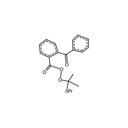 CCCC(C)(C)OOC(=O)c1ccccc1C(=O)c1ccccc1